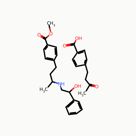 CC(=O)CCc1ccc(C(=O)O)cc1.COC(=O)c1ccc(CCC(C)NCC(O)c2ccccc2)cc1